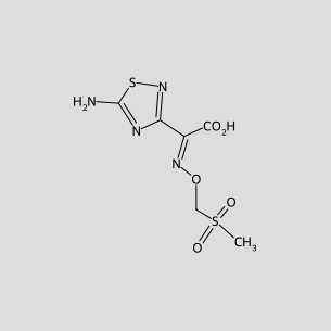 CS(=O)(=O)CO/N=C(\C(=O)O)c1nsc(N)n1